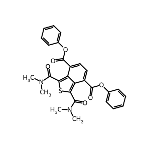 CN(C)C(=O)c1sc(C(=O)N(C)C)c2c(C(=O)Oc3ccccc3)ccc(C(=O)Oc3ccccc3)c12